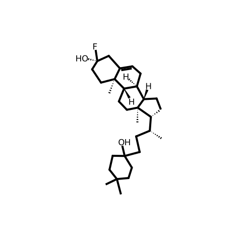 C[C@H](CCC1(O)CCC(C)(C)CC1)[C@H]1CC[C@H]2[C@@H]3CC=C4C[C@](O)(F)CC[C@]4(C)[C@H]3CC[C@]12C